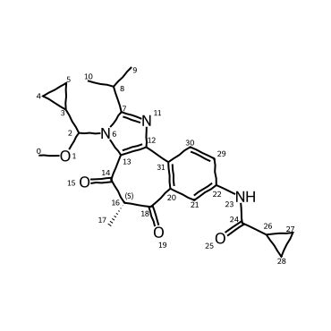 COC(C1CC1)n1c(C(C)C)nc2c1C(=O)[C@@H](C)C(=O)c1cc(NC(=O)C3CC3)ccc1-2